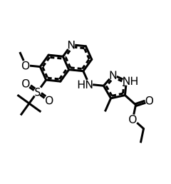 CCOC(=O)c1[nH]nc(Nc2ccnc3cc(OC)c(S(=O)(=O)C(C)(C)C)cc23)c1C